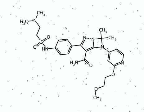 COCCOc1cc(N2c3c(C(N)=O)c(-c4ccc(NS(=O)(=O)CCN(C)C)cc4)nn3C2(C)C)ccn1